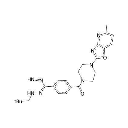 Cc1ccc2oc(N3CCN(C(=O)c4ccc(/C(N=N)=N/NCC(C)(C)C)cc4)CC3)nc2n1